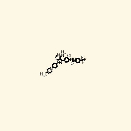 CN1CCN(C2CCC(n3nc(-c4ccc(NC(=O)c5ccc(C(F)(F)F)cc5)c(Cl)c4)c4c(N)ncnc43)CC2)CC1